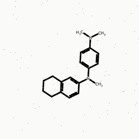 CN(C)c1ccc(N(C)c2ccc3c(c2)CCCC3)cc1